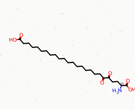 N[C@@H](CCC(=O)C(=O)CCCCCCCCCCCCCCCCCCC(=O)O)C(=O)O